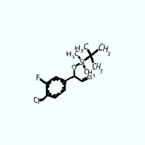 CC(C)(C)[Si](C)(C)OC(C=O)c1ccc(Cl)c(F)c1